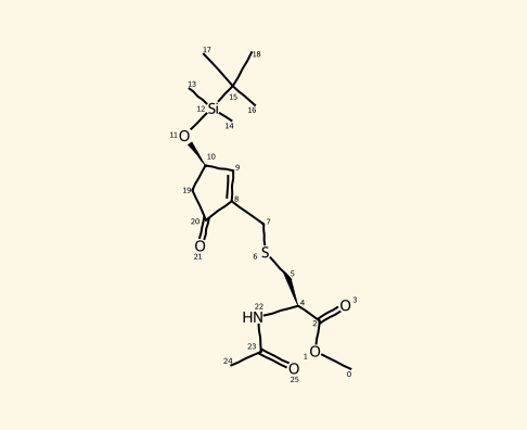 COC(=O)[C@H](CSCC1=C[C@H](O[Si](C)(C)C(C)(C)C)CC1=O)NC(C)=O